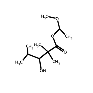 COC(C)OC(=O)C(C)(C)C(O)C(C)C